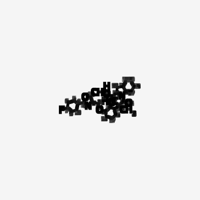 Cc1oc(-c2ccc(F)cc2)nc1COc1cccc(C(C)(C)C(=O)N2c3ccccc3CC2C(=O)O)c1